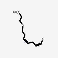 CC/C=C\C/C=C\CCSCCC(=O)O